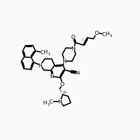 COC/C=C/C(=O)N1CCN(c2c(C#N)c(OC[C@@H]3CCCN3C)nc3c2CCN(c2cccc4cccc(C)c24)C3)CC1